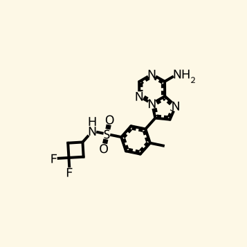 Cc1ccc(S(=O)(=O)NC2CC(F)(F)C2)cc1-c1cnc2c(N)ncnn12